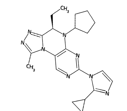 CC[C@@H]1c2nnc(C)n2-c2cnc(-n3ccnc3C3CC3)nc2N1C1CCCC1